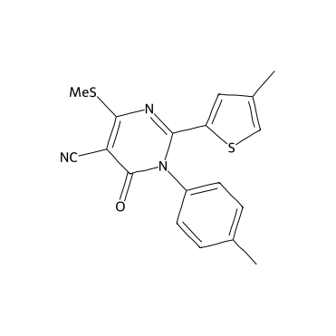 CSc1nc(-c2cc(C)cs2)n(-c2ccc(C)cc2)c(=O)c1C#N